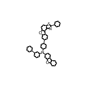 c1ccc(-c2cccc(N(c3ccc(-c4ccc5c(c4)oc4ccc6sc(-c7ccccc7)nc6c45)cc3)c3ccc4c(c3)oc3ccccc34)c2)cc1